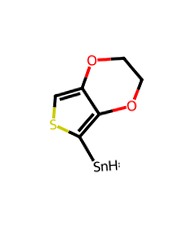 [SnH][c]1scc2c1OCCO2